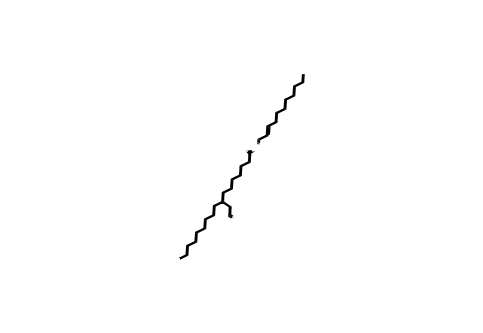 CCCCCCCCC=CCOC(=O)CCCCCCC(CC=O)CCCCCCCCC